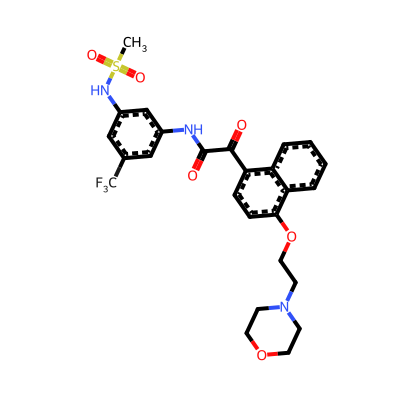 CS(=O)(=O)Nc1cc(NC(=O)C(=O)c2ccc(OCCN3CCOCC3)c3ccccc23)cc(C(F)(F)F)c1